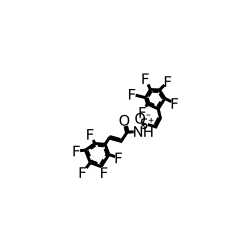 O=C(/C=C/c1c(F)c(F)c(F)c(F)c1F)N[S+]([O-])/C=C\c1c(F)c(F)c(F)c(F)c1F